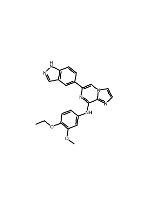 CCOc1ccc(Nc2nc(-c3ccc4[nH]ncc4c3)cn3ccnc23)cc1OC